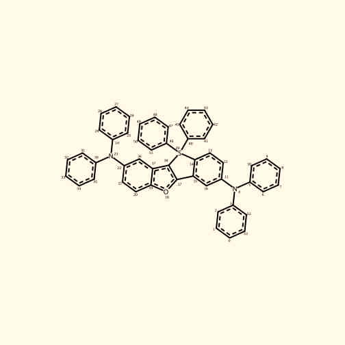 c1ccc(N(c2ccccc2)c2ccc3c(c2)-c2oc4ccc(N(c5ccccc5)c5ccccc5)cc4c2S3(c2ccccc2)c2ccccc2)cc1